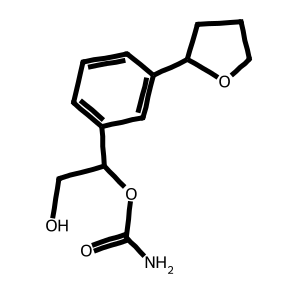 NC(=O)OC(CO)c1cccc(C2CCCO2)c1